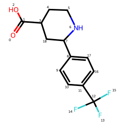 O=C(O)C1CCNC(c2ccc(C(F)(F)F)cc2)C1